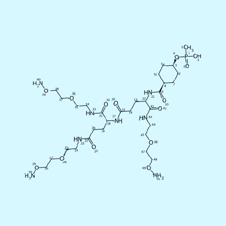 CP(=O)(O)O[C@H]1CC[C@@H](C(=O)NC(CCC(=O)NC(CCC(=O)NCCOCCON)C(=O)NCCOCCON)C(=O)NCCOCCON)CC1